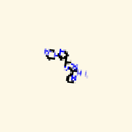 CN1CCCN(c2cc(-c3cnc4c(-c5ccccn5)c(N)nn4c3)ccn2)CC1